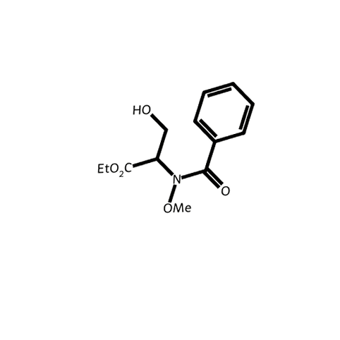 CCOC(=O)C(CO)N(OC)C(=O)c1ccccc1